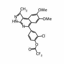 COc1cc2c(-c3ccc(OC(=O)C(F)(F)F)c(Cl)c3)nc3[nH]nc(C)c3c2cc1OC